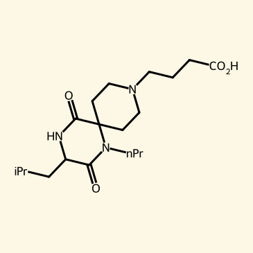 CCCN1C(=O)C(CC(C)C)NC(=O)C12CCN(CCCC(=O)O)CC2